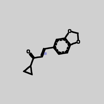 O=C(/C=C/c1ccc2c(c1)OCO2)C1CC1